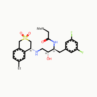 CCc1ccc2c(c1)[C@@H](NC[C@@H](O)[C@H](Cc1cc(F)cc(F)c1)NC(=O)CNC)CS(=O)(=O)C2